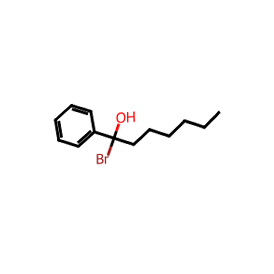 CCCCCCC(O)(Br)c1ccccc1